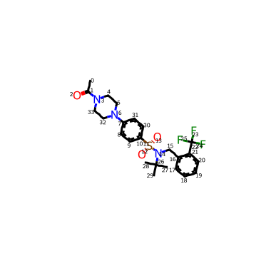 CC(=O)N1CCN(c2ccc(S(=O)(=O)N(Cc3ccccc3C(F)(F)F)C(C)(C)C)cc2)CC1